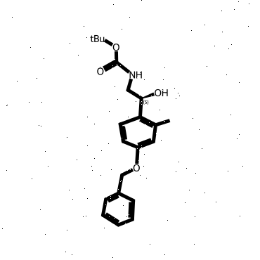 Cc1cc(OCc2ccccc2)ccc1[C@H](O)CNC(=O)OC(C)(C)C